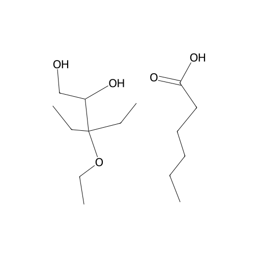 CCCCCC(=O)O.CCOC(CC)(CC)C(O)CO